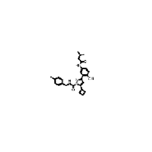 CC(C)CC(=O)Nc1ccc(O)c(-c2cc(C3CCC3)n(C(=O)NCc3ccc(F)cc3)n2)c1